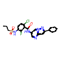 CCCS(=O)(=O)Nc1ccc(Cl)c(C(=O)Nc2cnc3cc(-c4ccccc4)nn3c2)c1F